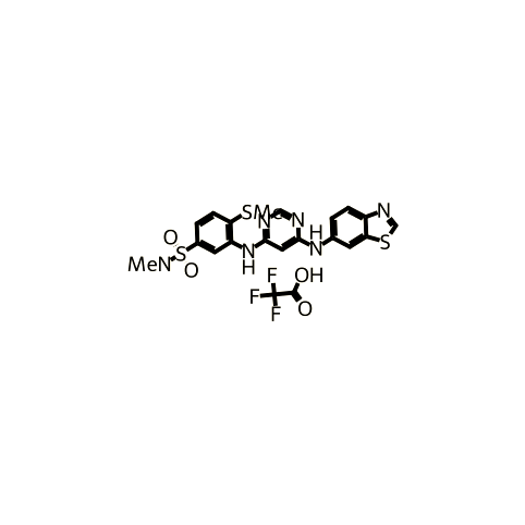 CNS(=O)(=O)c1ccc(SC)c(Nc2cc(Nc3ccc4ncsc4c3)ncn2)c1.O=C(O)C(F)(F)F